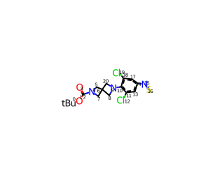 CC(C)(C)OC(=O)N1CC2(C1)CN(c1c(Cl)cc(N=S)cc1Cl)C2